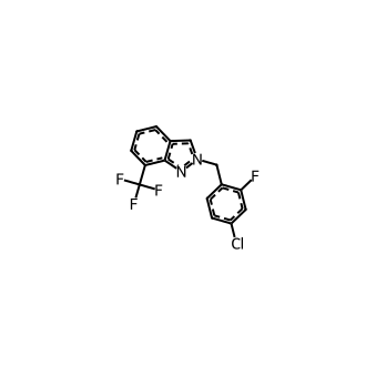 Fc1cc(Cl)ccc1Cn1cc2cccc(C(F)(F)F)c2n1